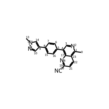 Cc1ncc(-c2ccc(-c3cnn(C)c3)cc2)c2nc(C#N)ccc12